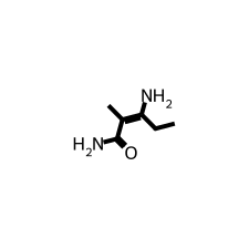 CC/C(N)=C(/C)C(N)=O